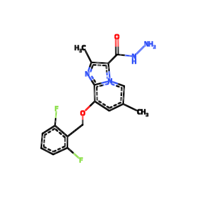 Cc1cc(OCc2c(F)cccc2F)c2nc(C)c(C(=O)NN)n2c1